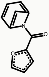 O=C(c1ccco1)N1C2=CC=CC1=C2